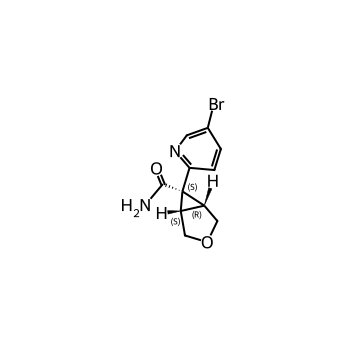 NC(=O)[C@]1(c2ccc(Br)cn2)[C@@H]2COC[C@@H]21